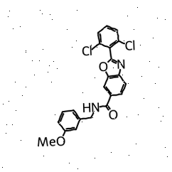 COc1cccc(CNC(=O)c2ccc3nc(-c4c(Cl)cccc4Cl)oc3c2)c1